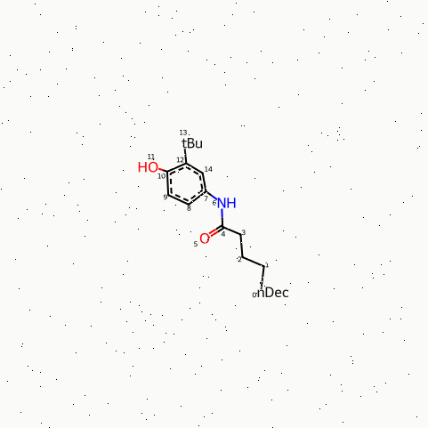 CCCCCCCCCCCCCC(=O)Nc1ccc(O)c(C(C)(C)C)c1